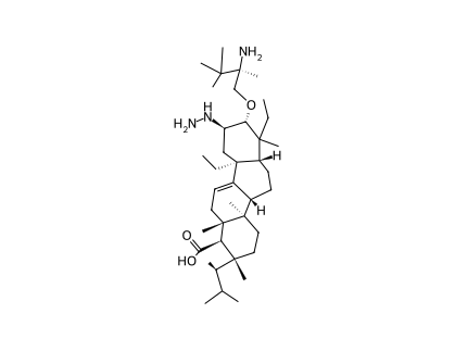 CCC1(C)[C@@H](OC[C@](C)(N)C(C)(C)C)[C@H](NN)C[C@]2(CC)C3=CC[C@@]4(C)[C@H](C(=O)O)[C@@](C)([C@H](C)C(C)C)CC[C@]4(C)[C@H]3CC[C@@H]12